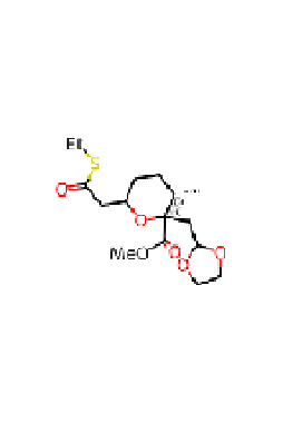 CCSC(=O)CC1CC[C@H](C)[C@](CC2OCCO2)(C(=O)OC)O1